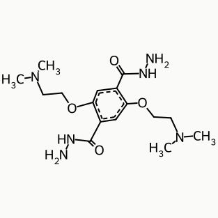 CN(C)CCOc1cc(C(=O)NN)c(OCCN(C)C)cc1C(=O)NN